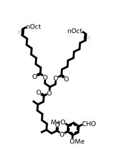 CCCCCCCC/C=C\CCCCCCCC(=O)OCC(COC(=O)CCCCCCC/C=C\CCCCCCCC)OC(=O)CC(C)CCCCC(C)CC(=O)Oc1c(OC)cc(C=O)cc1OC